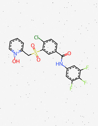 O=C(Nc1cc(F)c(F)c(F)c1)c1ccc(Cl)c(S(=O)(=O)Cc2cccc[n+]2O)c1